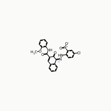 COc1ccccc1NC(=O)C1=Cc2ccccc2/C(=N/Nc2ccc(Cl)cc2[N+](=O)[O-])C1=O